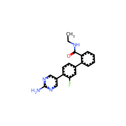 CCNC(=O)c1ccccc1-c1ccc(-c2cnc(N)nc2)c(F)c1